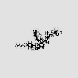 COc1ccc(-c2ncc3c(n2)-c2c(c(C(=O)NCCCOC(=O)C(F)(F)F)nn2CCCN)CC3)cc1